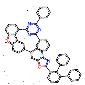 c1ccc(-c2nc(-c3ccccc3)nc(-c3cccc4oc5ccc(-c6ccc7nc(-c8cccc(-c9ccccc9)c8-c8ccccc8)oc7c6)cc5c34)n2)cc1